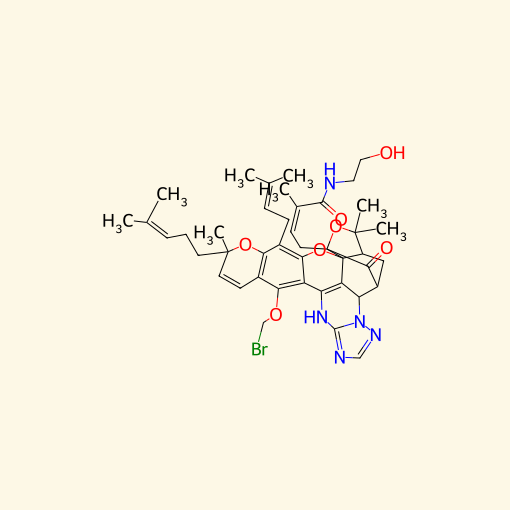 CC(C)=CCCC1(C)C=Cc2c(c(CC=C(C)C)c3c(c2OCBr)C2=C4C(C5CC6C(C)(C)OC(C/C=C(/C)C(=O)NCCO)(C5=O)C46O3)n3ncnc3N2)O1